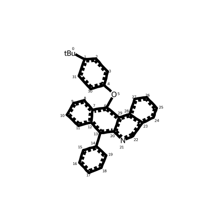 CC(C)(C)c1ccc(Oc2c3ccccc3c(-c3ccccc3)c3ncc4ccccc4c23)cc1